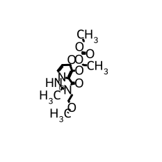 CCOC(=O)OC(C)Oc1c2n(ccc1=O)N[C@H](C)N(CCOC)C2=O